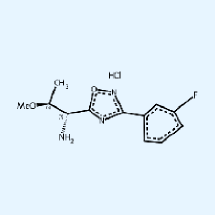 CO[C@@H](C)[C@@H](N)c1nc(-c2cccc(F)c2)no1.Cl